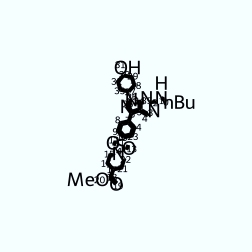 CCCCNc1ncc2c(-c3ccc(S(=O)(=O)N4CCC(C(=O)OC)CC4)cc3)nn(C3CCC(O)CC3)c2n1